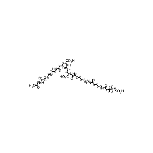 CC(C)(CC(=O)NSCCCC(=O)NCCOCCOCC(=O)N[C@@H](CCC(=O)N[C@H](CCCC(=O)NCCOCCOCC(=O)NCC(N)=O)C(=O)O)C(=O)O)C(C)(C)CS(=O)(=O)O